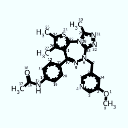 COc1cncc(CN2N=C(c3ccc(NC(C)=O)cc3)c3c(sc(C)c3C)-n3c(C)nnc32)c1